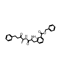 NC(Cc1cccc(C(=O)OCc2ccccc2)c1)C(=O)NC(F)C(=O)CCc1ccccc1